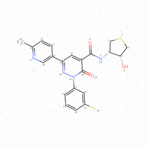 O=C(N[C@@H]1CSC[C@@H]1O)c1cc(-c2ccc(C(F)(F)F)nc2)nn(-c2cccc(F)c2)c1=O